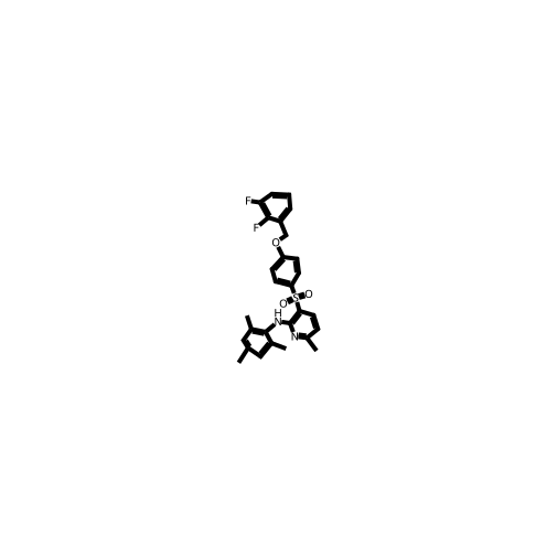 Cc1cc(C)c(Nc2nc(C)ccc2S(=O)(=O)c2ccc(OCc3cccc(F)c3F)cc2)c(C)c1